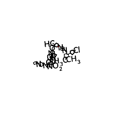 [CH]c1ccc(N2CCN(CC3=C(c4ccc(Cl)cc4)CC(C)(C)CC3)CC2)cc1Oc1cnc2c(ccn2S(=O)(=O)c2ccc(NC3CCN(C4CCC4)CC3)c([N+](=O)[O-])c2)c1